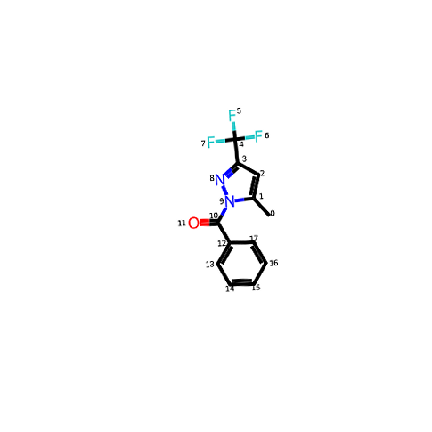 Cc1cc(C(F)(F)F)nn1C(=O)c1ccccc1